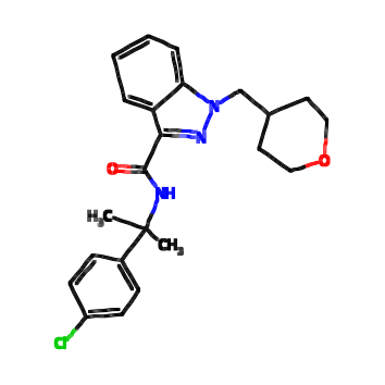 CC(C)(NC(=O)c1nn(CC2CCOCC2)c2ccccc12)c1ccc(Cl)cc1